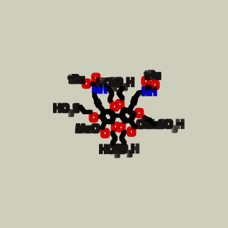 COC(=O)c1c(OCCCS(=O)(=O)O)c(C#CCNC(=O)OC(C)(C)C)c(OCCCS(=O)(=O)O)c(-c2c(OCCCS(=O)(=O)O)c(C#CCNC(=O)OC(C)(C)C)c(OCCCS(=O)(=O)O)c(C(=O)OC)c2OCCCS(=O)(=O)O)c1OCCCS(=O)(=O)O